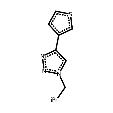 CC(C)Cn1cc(-c2ccsc2)nn1